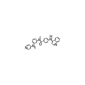 O=C(c1ccc(Nc2ccnc3ccccc23)cc1)N(I)c1cccc(N(I)c2ccncc2)c1